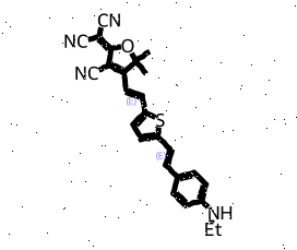 CCNc1ccc(/C=C/c2ccc(/C=C/C3=C(C#N)C(=C(C#N)C#N)OC3(C)C)s2)cc1